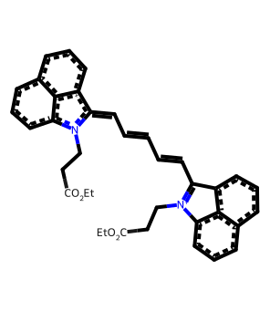 CCOC(=O)CCn1\c(=C/C=C/C=C/C2=[N+](CCC(=O)OCC)c3cccc4cccc2c34)c2cccc3cccc1c32